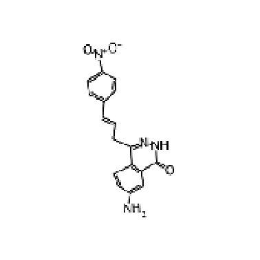 Nc1ccc2c(CC=Cc3ccc([N+](=O)[O-])cc3)n[nH]c(=O)c2c1